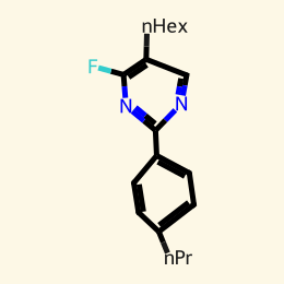 CCCCCCc1cnc(-c2ccc(CCC)cc2)nc1F